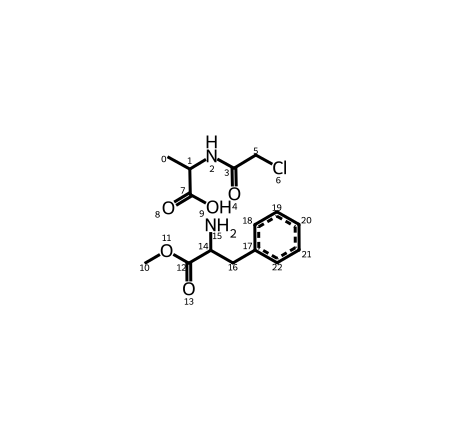 CC(NC(=O)CCl)C(=O)O.COC(=O)C(N)Cc1ccccc1